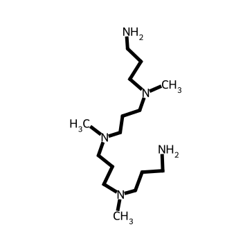 CN(CCCN)CCCN(C)CCCN(C)CCCN